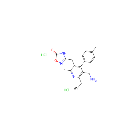 Cc1ccc(-c2c(Cc3noc(=O)[nH]3)c(C)nc(CC(C)C)c2CN)cc1.Cl.Cl